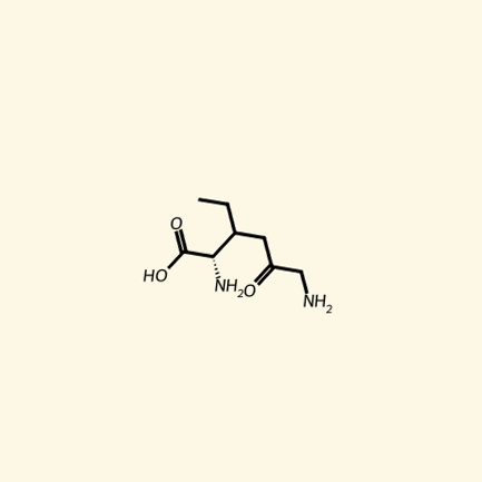 CCC(CC(=O)CN)[C@H](N)C(=O)O